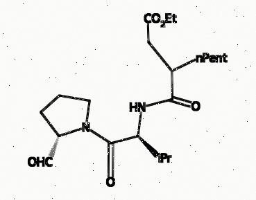 CCCCCC(CC(=O)OCC)C(=O)N[C@H](C(=O)N1CCC[C@H]1C=O)C(C)C